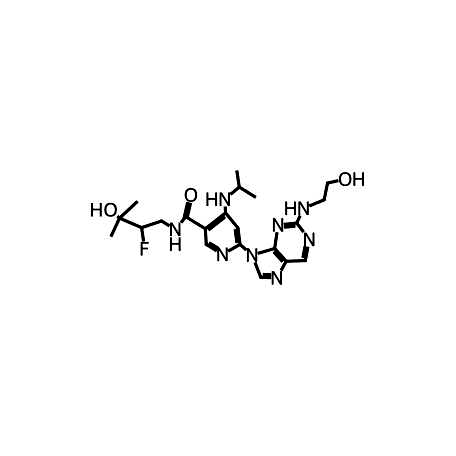 CC(C)Nc1cc(-n2cnc3cnc(NCCO)nc32)ncc1C(=O)NCC(F)C(C)(C)O